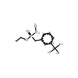 CCOP(=O)(Cc1cccc(C(F)(F)F)c1)OCl